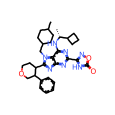 CC1CCC(Cn2c(C3CCOCC3c3ccccc3)nc3nc(-c4noc(=O)[nH]4)nc(N[C@H](C)C4CCC4)c32)CC1